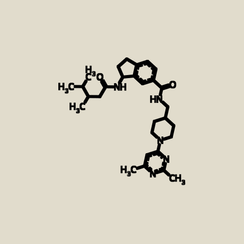 Cc1cc(N2CCC(CNC(=O)c3ccc4c(c3)C(NC(=O)CC(C)C(C)C)CC4)CC2)nc(C)n1